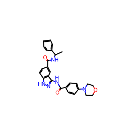 CC(NC(=O)c1ccc2[nH]nc(NC(=O)c3ccc(N4CCOCC4)cc3)c2c1)c1ccccc1